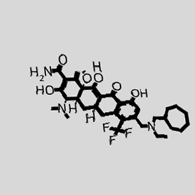 C=C1C(C(N)=O)=C(O)[C@@H](N(C)C)[C@@H]2C[C@@H]3Cc4c(c(O)cc(CN(CC)CC5CCCCCC5)c4C(F)(F)F)C(=O)C3=C(O)[C@]12OC